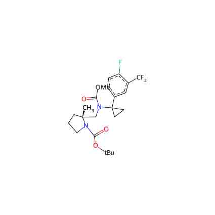 COC(=O)N(C[C@@]1(C)CCCN1C(=O)OC(C)(C)C)C1(c2ccc(F)c(C(F)(F)F)c2)CC1